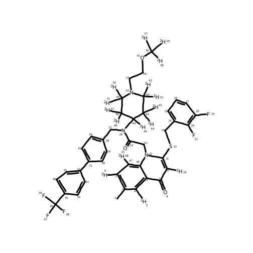 [2H]c1c(C)c([2H])c2c(=O)c([2H])c(SCc3cccc(F)c3F)n(CC(=O)N(Cc3ccc(-c4ccc(C(F)(F)F)cc4)cc3)C3([2H])C([2H])([2H])C([2H])([2H])N(CCOC([2H])([2H])[2H])C([2H])([2H])C3([2H])[2H])c2c1[2H]